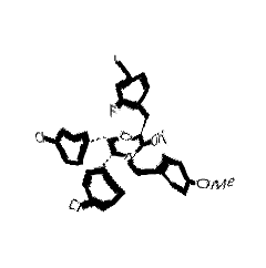 COc1ccc(CN2C(O)[C@H](Cc3ccc(I)cc3F)O[C@@H](c3ccc(Cl)cc3)[C@H]2c2ccc(Cl)cc2)cc1